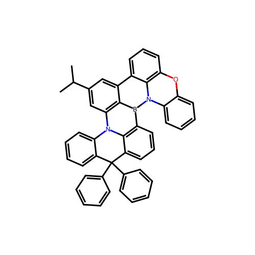 CC(C)c1cc2c3c(c1)N1c4ccccc4C(c4ccccc4)(c4ccccc4)c4cccc(c41)B3N1c3ccccc3Oc3cccc-2c31